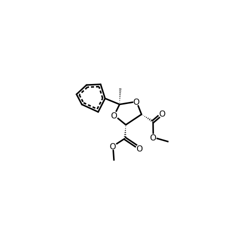 COC(=O)[C@H]1O[C@](C)(c2ccccc2)O[C@H]1C(=O)OC